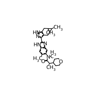 Cc1cc2[nH]c(-c3n[nH]c4c3CC3C(C)[C@]3(C)C4)nc2cc1N(C)C(=O)[C@H](C)C1CCOCC1